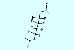 FC(I)CC(F)(F)C(F)(F)C(F)(F)C(F)(F)CC(F)I